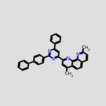 Cc1ccc2ccc3c(C)cc(-c4cc(-c5ccccc5)nc(-c5ccc(-c6ccccc6)cc5)n4)nc3c2n1